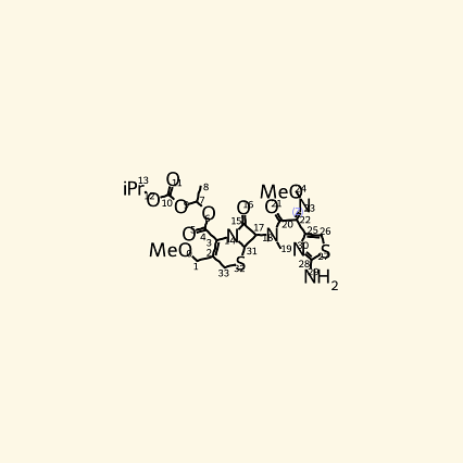 COCC1=C(C(=O)OC(C)OC(=O)OC(C)C)N2C(=O)C(N(C)C(=O)/C(=N\OC)c3csc(N)n3)C2SC1